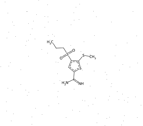 CCCS(=O)(=O)c1cc(C(=N)N)sc1SC